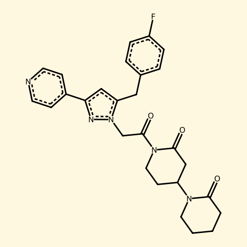 O=C1CC(N2CCCCC2=O)CCN1C(=O)Cn1nc(-c2ccncc2)cc1Cc1ccc(F)cc1